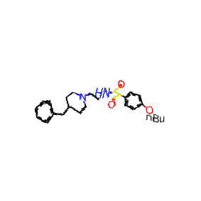 CCCCOc1ccc(S(=O)(=O)NCCN2CCC(Cc3ccccc3)CC2)cc1